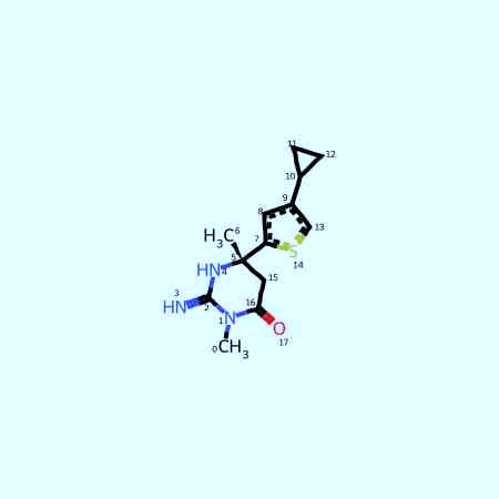 CN1C(=N)N[C@](C)(c2cc(C3CC3)cs2)CC1=O